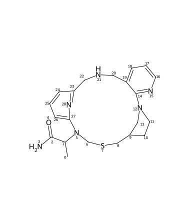 CC(C(N)=O)N1CSCC2CCN(C2)c2ncccc2CNCc2cccc1n2